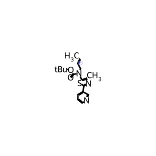 C/C=C/CN(C(=O)OC(C)(C)C)c1sc(-c2cccnc2)nc1C